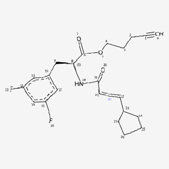 C#CCCCOC(=O)[C@H](Cc1cc(F)cc(F)c1)NC(=O)/C=C/C1CCCC1